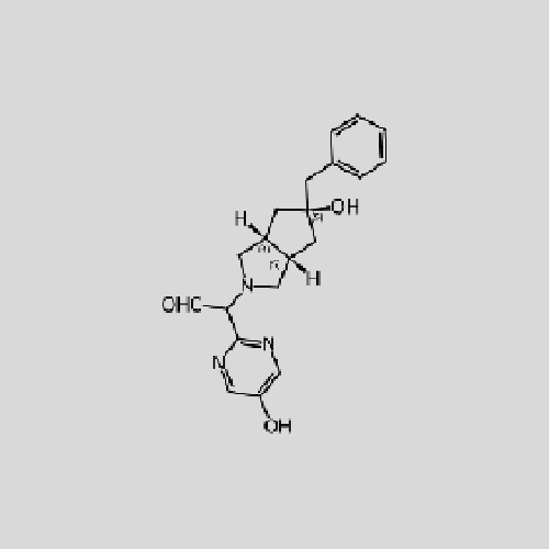 O=CC(c1ncc(O)cn1)N1C[C@@H]2C[C@](O)(Cc3ccccc3)C[C@@H]2C1